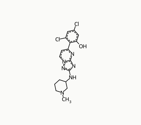 CN1CCCC(Nc2nc3nc(-c4c(O)cc(Cl)cc4Cl)ccn3n2)C1